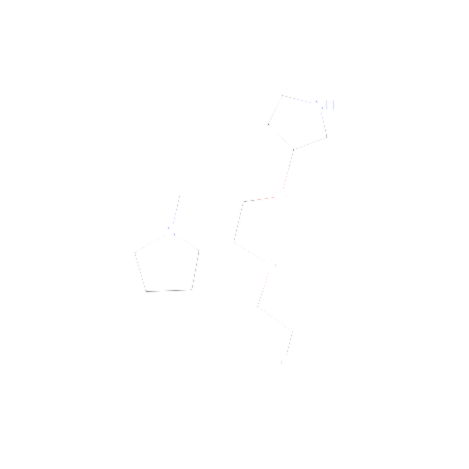 CCCOC(COC1CCNC1)[C@@H]1CCCN1C